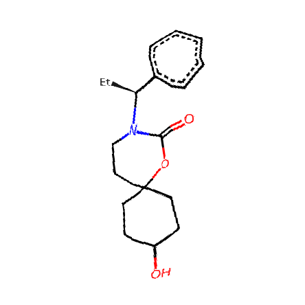 CC[C@@H](c1ccccc1)N1CCC2(CCC(O)CC2)OC1=O